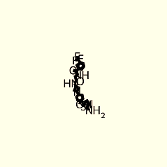 Nc1ncc(C2(O)CCC(N3CC(NC(=O)CNC(=O)c4cccc(C(F)(F)F)c4)C3)CC2)s1